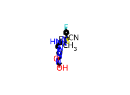 CCc1[nH]c2ccc(N3CCN(CC(=O)N4CC(O)C4)CC3)nc2c1N(C)c1nc(-c2ccc(F)cc2)c(C#N)s1